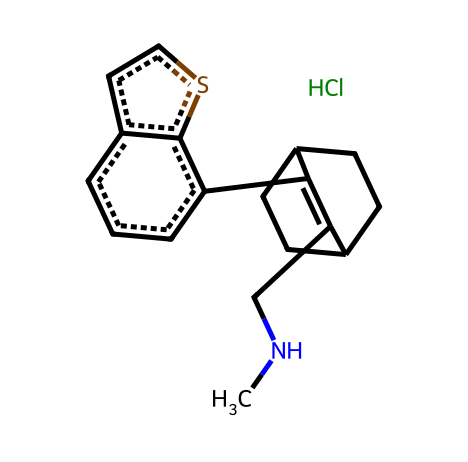 CNCC1=C(c2cccc3ccsc23)C2CCC1CC2.Cl